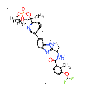 COP(=O)(OC)OC(C)(C)c1ccc(-c2ccc3nc4n(c3c2)CC[C@H]4NC(=O)c2cccc(OC(F)F)c2C)cn1